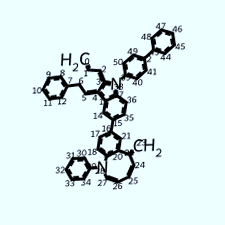 C=C/C=c1\c(=C/Cc2ccccc2)c2cc(-c3ccc4c(c3)C(=C)/C=C\C=C/N4c3ccccc3)ccc2n1-c1ccc(-c2ccccc2)cc1